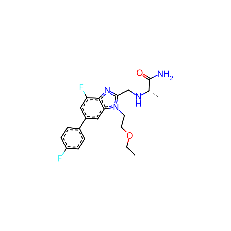 CCOCCn1c(CN[C@@H](C)C(N)=O)nc2c(F)cc(-c3ccc(F)cc3)cc21